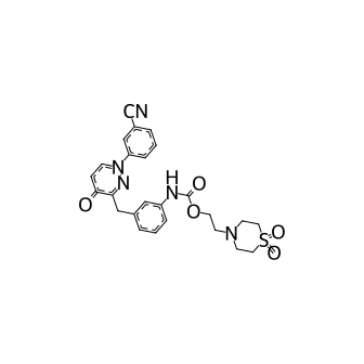 N#Cc1cccc(-n2ccc(=O)c(Cc3cccc(NC(=O)OCCN4CCS(=O)(=O)CC4)c3)n2)c1